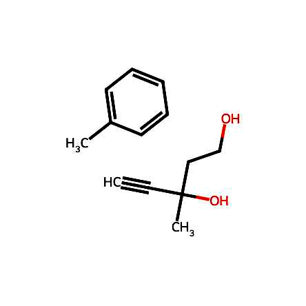 C#CC(C)(O)CCO.Cc1ccccc1